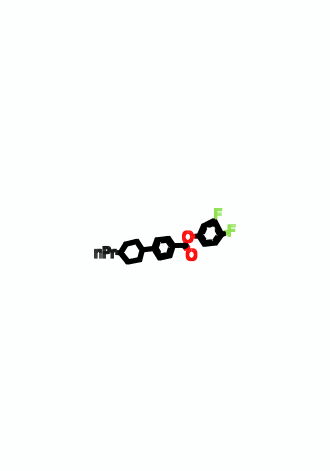 CCCC1CCC(c2ccc(C(=O)Oc3ccc(F)c(F)c3)cc2)CC1